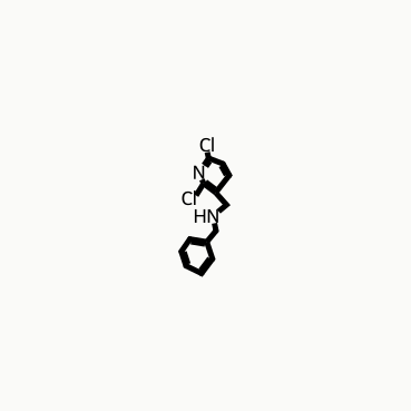 Clc1ccc(CNCc2ccccc2)c(Cl)n1